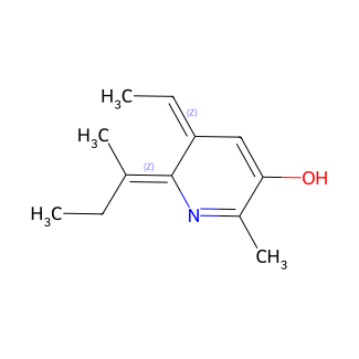 C/C=c1/cc(O)c(C)n/c1=C(/C)CC